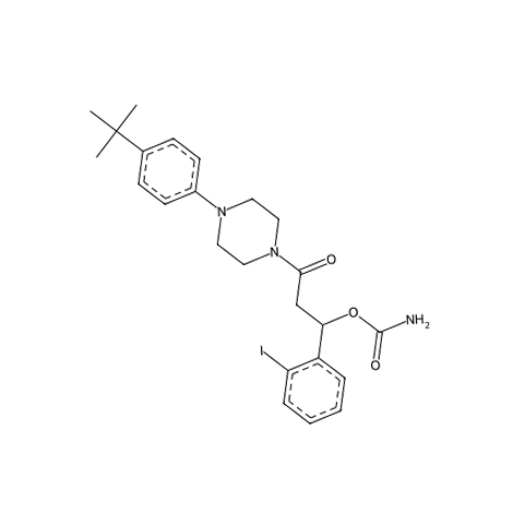 CC(C)(C)c1ccc(N2CCN(C(=O)CC(OC(N)=O)c3ccccc3I)CC2)cc1